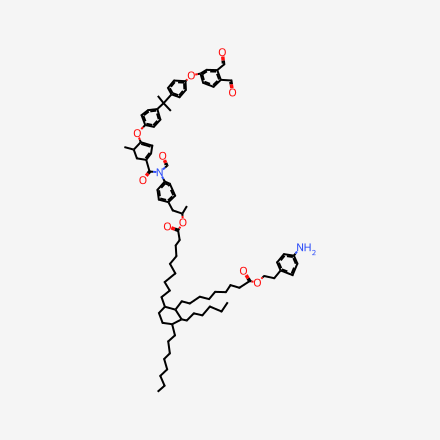 CCCCCCCCC1CCC(CCCCCCCCC(=O)OC(C)Cc2ccc(N(C=O)C(=O)C3=CC=C(Oc4ccc(C(C)(C)c5ccc(Oc6ccc(C=O)c(C=O)c6)cc5)cc4)C(C)C3)cc2)C(CCCCCCCCC(=O)OCCc2ccc(N)cc2)C1CCCCCC